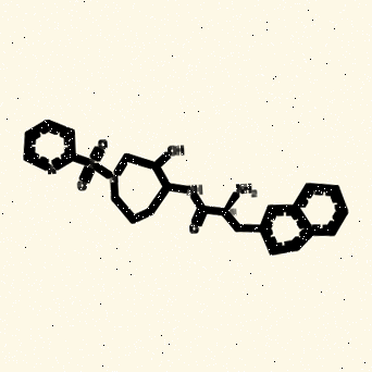 N[C@@H](Cc1ccc2ccccc2c1)C(=O)NC1CCCN(S(=O)(=O)c2ccccn2)CC1O